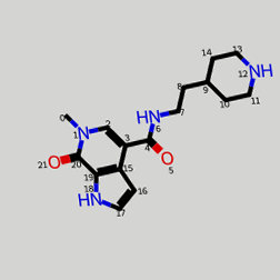 Cn1cc(C(=O)NCCC2CCNCC2)c2cc[nH]c2c1=O